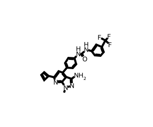 Cn1nc(N)c2c(-c3ccc(NC(=O)Nc4cccc(C(F)(F)F)c4)cc3)cc(C3=CC=C3)nc21